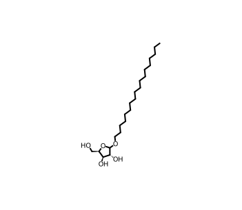 CCCCCCCCCCCCCCCCCCOC1O[C@H](CO)[C@H](O)[C@H]1O